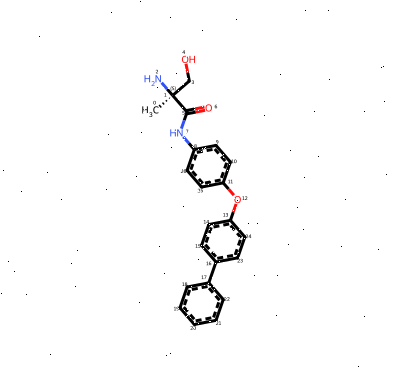 C[C@](N)(CO)C(=O)Nc1ccc(Oc2ccc(-c3ccccc3)cc2)cc1